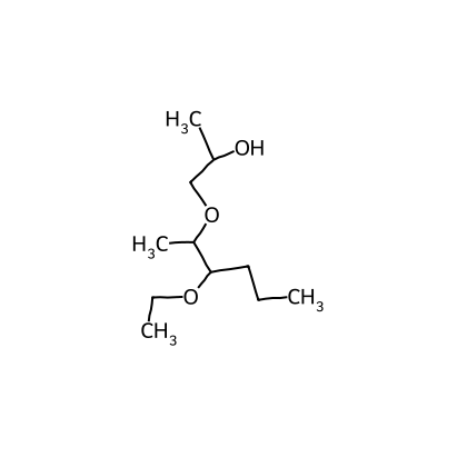 CCCC(OCC)C(C)OCC(C)O